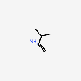 C=CC(C)C.N